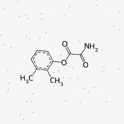 Cc1cccc(OC(=O)C(N)=O)c1C